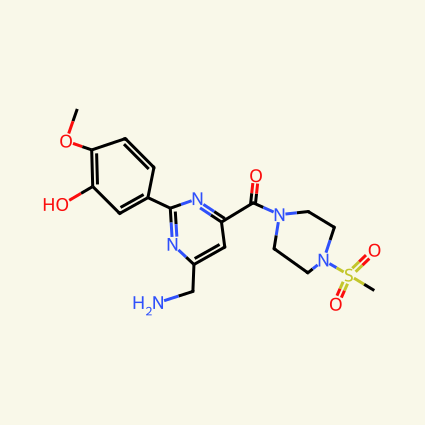 COc1ccc(-c2nc(CN)cc(C(=O)N3CCN(S(C)(=O)=O)CC3)n2)cc1O